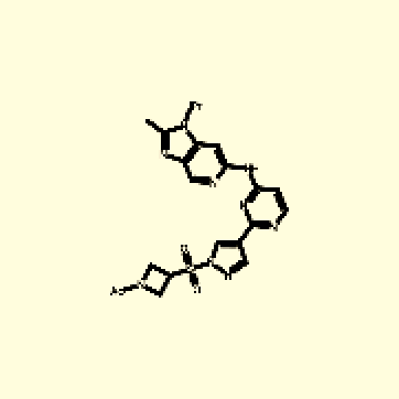 CC(=O)N1CC(S(=O)(=O)n2cc(-c3nccc(Nc4cc5c(cn4)nc(C)n5C(C)C)n3)cn2)C1